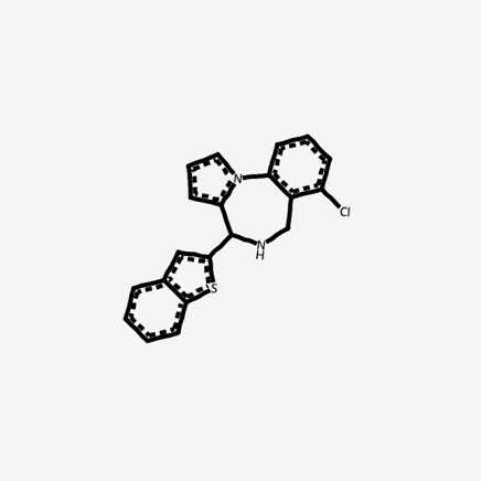 Clc1cccc2c1CNC(c1cc3ccccc3s1)c1cccn1-2